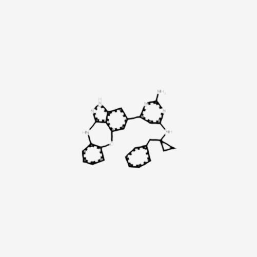 Nc1nc(NC2(Cc3ccccc3)CC2)cc(-c2cc3c4c(n[nH]c4c2)Nc2ccccc2O3)n1